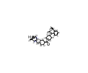 C#Cc1ccccc1N(C(C)=O)C1CCN(C(=O)C2CCN(CC(/C=C\N)=C/C(=C)Br)CC2)CC1